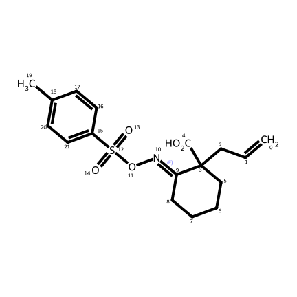 C=CCC1(C(=O)O)CCCC/C1=N\OS(=O)(=O)c1ccc(C)cc1